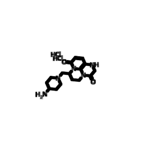 Cl.Cl.NC1CCN(CC2CCN3C(=O)CNc4ccc(=O)n2c43)CC1